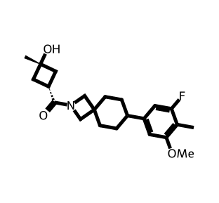 COc1cc(C2CCC3(CC2)CN(C(=O)[C@H]2C[C@@](C)(O)C2)C3)cc(F)c1C